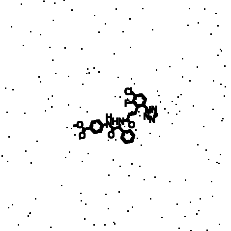 COC(=O)c1ccc(NC(=O)C(NC(=O)C=Cc2c(-n3ncnn3)ccc(Cl)c2F)c2ccccc2)cc1